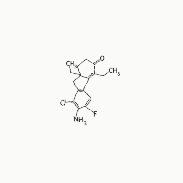 CCC1=C2c3cc(F)c(N)c(Cl)c3CC2(CC)CCC1=O